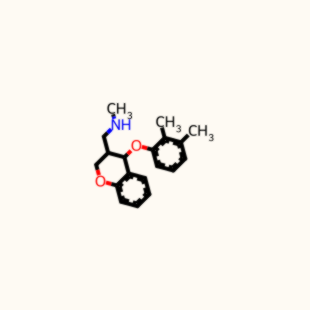 CNCC1COc2ccccc2C1Oc1cccc(C)c1C